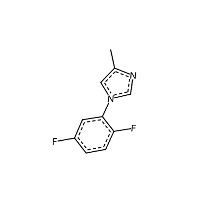 Cc1cn(-c2cc(F)ccc2F)cn1